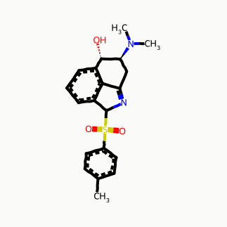 Cc1ccc(S(=O)(=O)C2N=C3C[C@H](N(C)C)[C@@H](O)c4cccc2c43)cc1